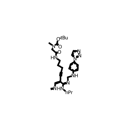 C=N/C=C(C#CCCCNC(=O)CN(C)C(=O)OC(C)(C)C)\C(=N/CNc1ccc(-n2ccnn2)cc1)NCCC